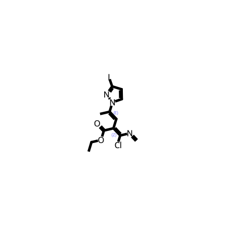 C=N/C(Cl)=C(\C=C(/C)n1ccc(I)n1)C(=O)OCC